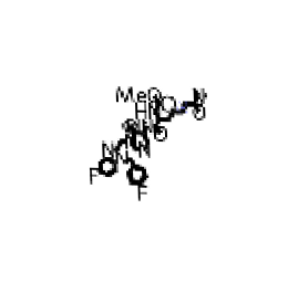 COC(=O)NC(CC/C=C/C(=O)N(C)C)C(=O)Nc1cncn(Cc2nc3cc(F)ccc3n2Cc2ccc(F)cc2)c1=O